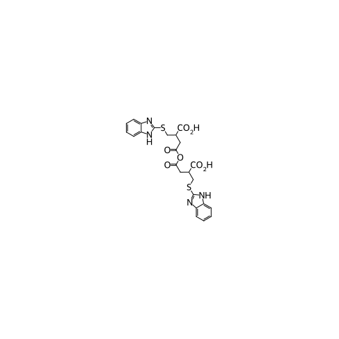 O=C(CC(CSc1nc2ccccc2[nH]1)C(=O)O)OC(=O)CC(CSc1nc2ccccc2[nH]1)C(=O)O